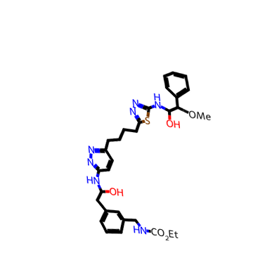 CCOC(=O)NCc1cccc(CC(O)Nc2ccc(CCCCc3nnc(NC(O)C(OC)c4ccccc4)s3)nn2)c1